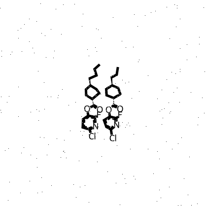 CCCC[C@H]1CC[C@H](C(=O)Oc2ccc(Cl)nc2F)CC1.CCC[C@H]1CC[C@H](C(=O)Oc2ccc(Cl)nc2F)CC1